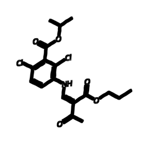 CCCOC(=O)C(=CNc1ccc(Cl)c(C(=O)OC(C)C)c1Cl)C(C)=O